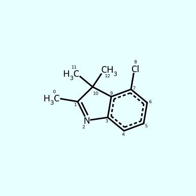 CC1=Nc2cccc(Cl)c2C1(C)C